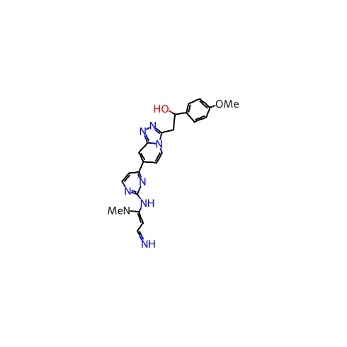 CN/C(=C\C=N)Nc1nccc(-c2ccn3c(CC(O)c4ccc(OC)cc4)nnc3c2)n1